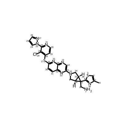 Cc1csc(C2(CN)[C@@H]3CN(c4cnc5nc(Sc6ccnc(-n7cccn7)c6Cl)ccc5n4)C[C@@H]32)n1